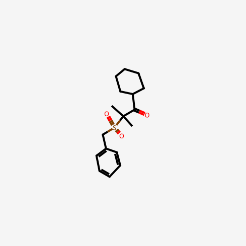 CC(C)(C(=O)C1CCCCC1)S(=O)(=O)Cc1ccccc1